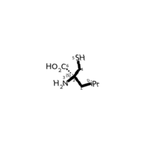 CC(C)C[C@@](N)(CS)C(=O)O